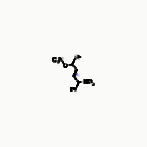 CC(C)C(/C=C/C(C(C)C)[N+](=O)[O-])O[N+](=O)[O-]